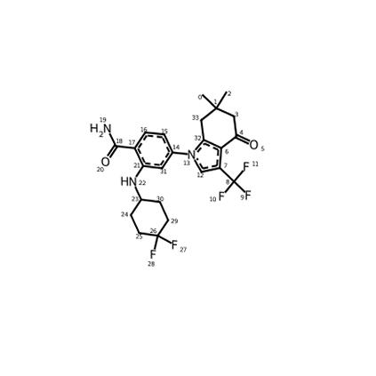 CC1(C)CC(=O)c2c(C(F)(F)F)cn(-c3ccc(C(N)=O)c(NC4CCC(F)(F)CC4)c3)c2C1